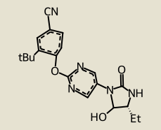 CC[C@H]1NC(=O)N(c2cnc(Oc3ccc(C#N)cc3C(C)(C)C)nc2)C1O